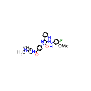 COc1cc(NNC2C(=O)N(c3ccc(C(=O)N4CCC(N(C)C)CC4)cc3)N=C2c2ccccc2)ccc1F